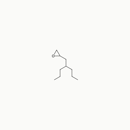 CCCC(CCC)CC1CO1